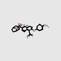 CCC(c1ccc2c(C(F)F)c(OC3CCC(C)CC3)ccc2c1)N1C2CCC1CC(C(=O)O)C2